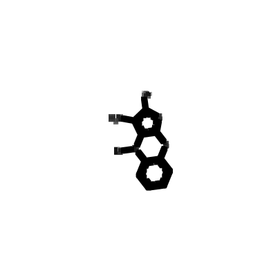 CCN1c2ccccc2Sc2sc(C(C)C)c(N)c21